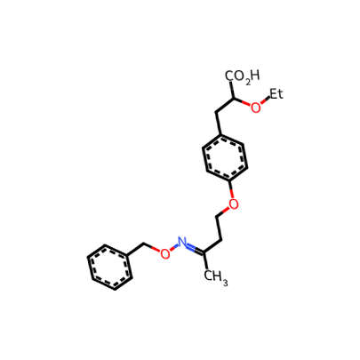 CCOC(Cc1ccc(OCCC(C)=NOCc2ccccc2)cc1)C(=O)O